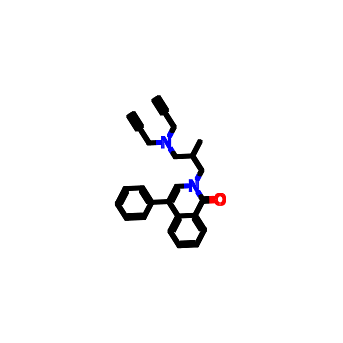 C#CCN(CC#C)CC(C)Cn1cc(-c2ccccc2)c2ccccc2c1=O